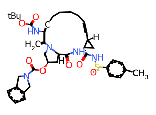 C=C1[C@@H](NC(=O)OC(C)(C)C)CCCCC/C=C\[C@@H]2C[C@@]2(C(=O)N[S@@+]([O-])c2ccc(C)cc2)NC(=O)[C@@H]2C[C@@H](OC(=O)N3Cc4ccccc4C3)CN12